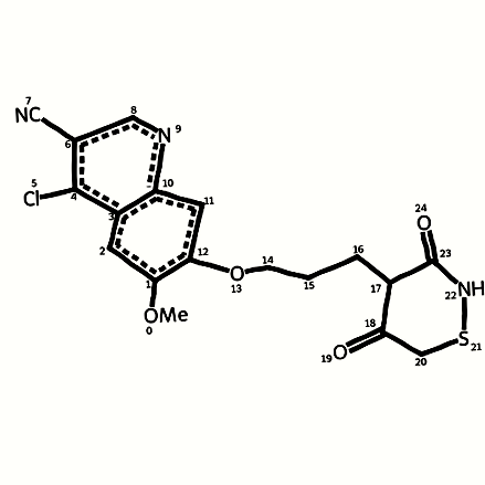 COc1cc2c(Cl)c(C#N)cnc2cc1OCCCC1C(=O)CSNC1=O